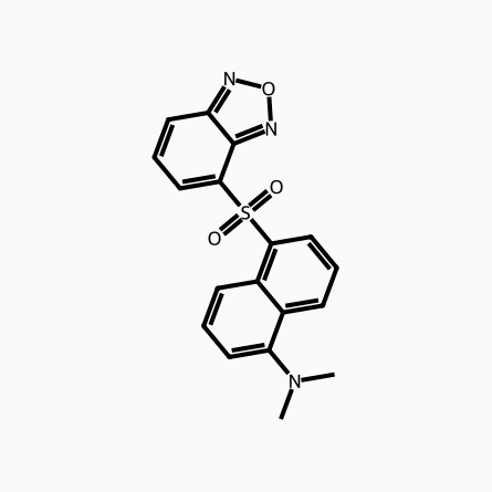 CN(C)c1cccc2c(S(=O)(=O)c3cccc4nonc34)cccc12